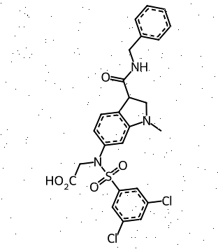 CN1CC(C(=O)NCc2ccccc2)c2ccc(N(CC(=O)O)S(=O)(=O)c3cc(Cl)cc(Cl)c3)cc21